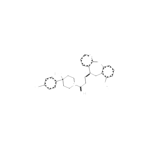 C=C(C/C=C1\Cc2c(OC)cccc2Oc2ncccc21)N1CCC(O)(c2ccc(Cl)cc2)CC1